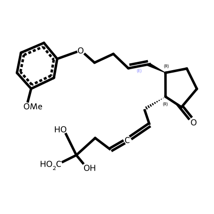 COc1cccc(OCC/C=C/[C@H]2CCC(=O)[C@@H]2CC=C=CCC(O)(O)C(=O)O)c1